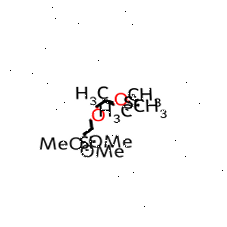 CO[Si](CCCOCC(C)=CO[Si](C)(C)C)(OC)OC